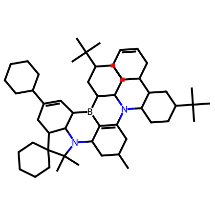 CC1CC2=C3B(C4C=C(C5CCCCC5)CC5C4N(C3C1)C(C)(C)C51CCCCC1)C1CC(C(C)(C)C)CCC1N2C1CCC(C(C)(C)C)CC1C1CC=CCC1